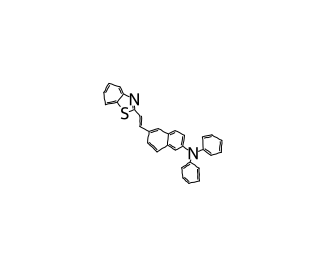 C(=Cc1nc2ccccc2s1)c1ccc2cc(N(c3ccccc3)c3ccccc3)ccc2c1